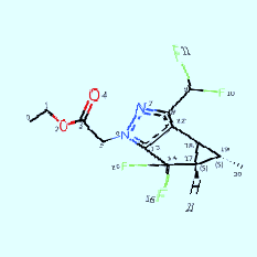 CCOC(=O)Cn1nc(C(F)F)c2c1C(F)(F)[C@@H]1C2[C@@H]1C